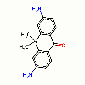 C[Si]1(C)c2cc(N)ccc2C(=O)c2ccc(N)cc21